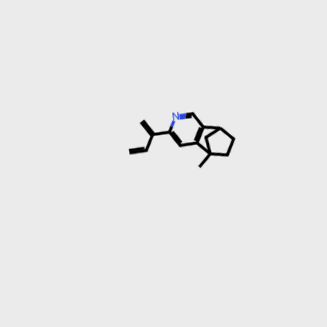 C=CC(=C)c1cc2c(cn1)C1CCC2(C)C1